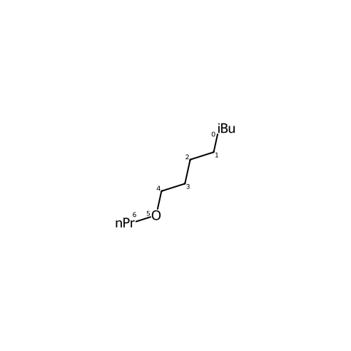 [CH2]C(CC)CCCCOCCC